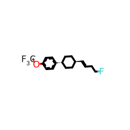 FCC/C=C/[C@H]1CC[C@H](c2ccc(OC(F)(F)F)cc2)CC1